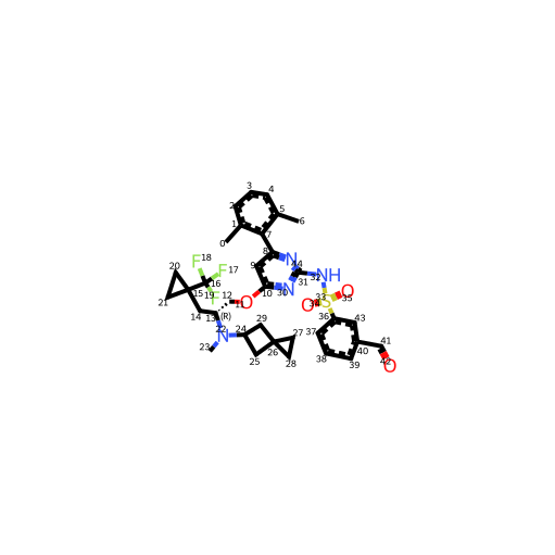 Cc1cccc(C)c1-c1cc(OC[C@@H](CC2(C(F)(F)F)CC2)N(C)C2CC3(CC3)C2)nc(NS(=O)(=O)c2cccc(C=O)c2)n1